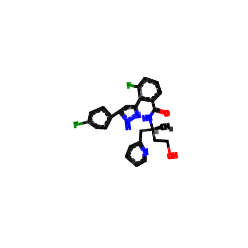 C[C@@](CCO)(Cc1ccccn1)NC(=O)c1cccc(F)c1-c1cc(-c2ccc(F)cc2)[nH]n1